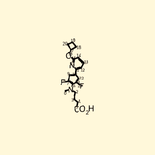 CN(CCCC(=O)O)c1c(F)cc(-c2cccc(OC3CCC3)n2)cc1F